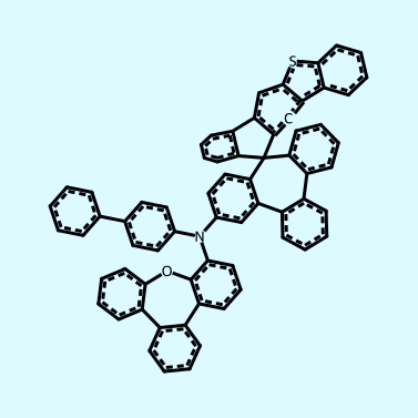 c1ccc(-c2ccc(N(c3ccc4c(c3)-c3ccccc3-c3ccccc3C43c4ccccc4-c4cc5sc6ccccc6c5cc43)c3cccc4c3Oc3ccccc3-c3ccccc3-4)cc2)cc1